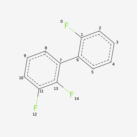 Fc1ccccc1-c1[c]ccc(F)c1F